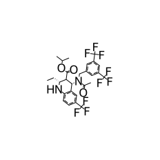 CC[C@H]1Nc2ccc(C(F)(F)F)cc2[C@@H](N(Cc2cc(C(F)(F)F)cc(C(F)(F)F)c2)C(C)=O)C1C(=O)OC(C)C